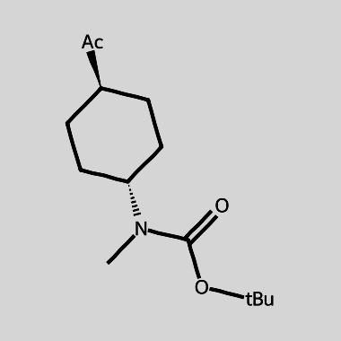 CC(=O)[C@H]1CC[C@H](N(C)C(=O)OC(C)(C)C)CC1